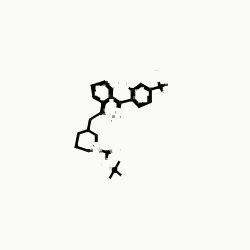 CC(C)(C)OC(=O)N1CCCC(Cc2nnc(-c3ccc(C(F)(F)F)cc3O)c3ccccc23)C1